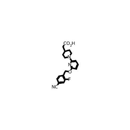 N#Cc1ccc(COc2cccc(N3CCC(CC(=O)O)CC3)n2)c(F)c1